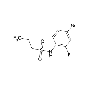 O=S(=O)(CCC(F)(F)F)Nc1ccc(Br)cc1F